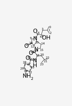 CC(C)CC(O)C(=O)N1CC(=O)C2C1CCN2C(=O)C(CC(C)C)NC(=O)c1ccc(N)cc1